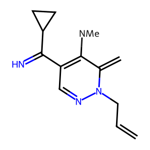 C=CCN1N=CC(C(=N)C2CC2)=C(NC)C1=C